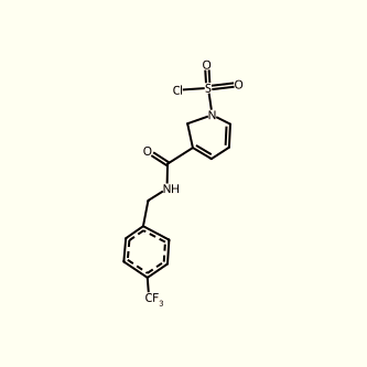 O=C(NCc1ccc(C(F)(F)F)cc1)C1=CC=CN(S(=O)(=O)Cl)C1